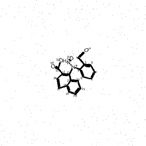 O=Cc1ccccc1N(N=O)c1c(C(=O)O)ccc2ccccc12